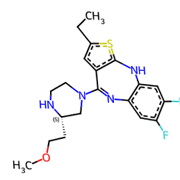 CCc1cc2c(s1)Nc1cc(F)c(F)cc1N=C2N1CCN[C@@H](CCOC)C1